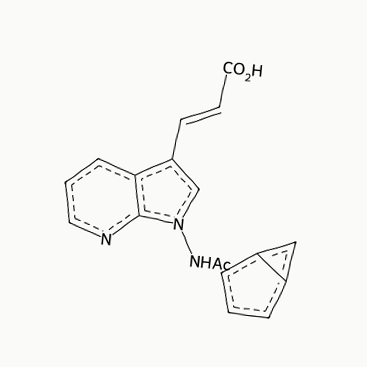 CC(=O)Nn1cc(C=CC(=O)O)c2cccnc21.c1cc2cc-2c1